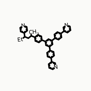 CCC(CC(C)c1ccc(-c2cc(-c3ccc(-c4cccnc4)cc3)cc(-c3ccc(-c4cccnc4)cc3)c2)cc1)c1ccncc1